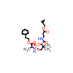 CC(NP1(=O)OCC(C)(C)[C@H](C(=O)NCCC(=O)OCC2CC2)O1)C(=O)OCCc1ccccc1